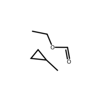 CC1CC1.CCOC=O